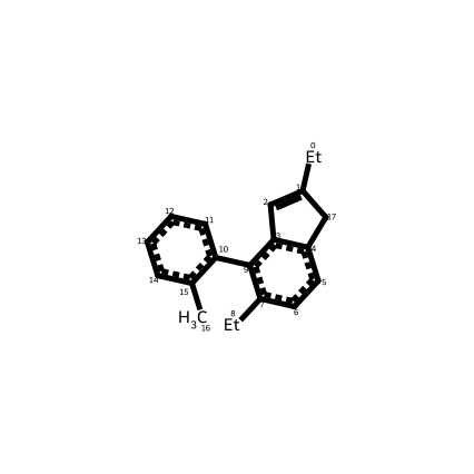 CCC1=Cc2c(ccc(CC)c2-c2ccccc2C)[CH]1